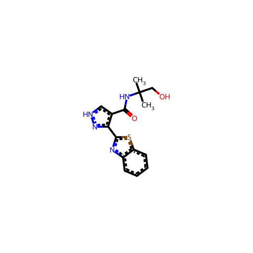 CC(C)(CO)NC(=O)c1c[nH]nc1-c1nc2ccccc2s1